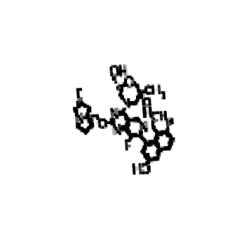 CCc1c(F)ccc2cc(O)cc(-c3ncc4c(N5C[C@H](CO)OC[C@](C)(O)C5)nc(OC[C@@]56CCCN5C[C@H](F)C6)nc4c3F)c12